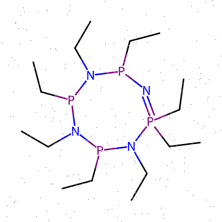 CCN1P(CC)N=P(CC)(CC)N(CC)P(CC)N(CC)P1CC